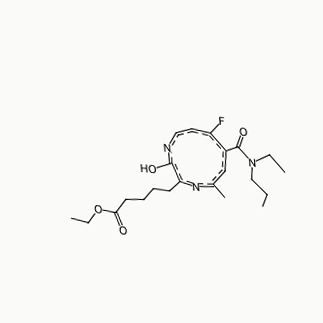 CCCN(CC)C(=O)c1cc(C)nc(CCCCC(=O)OCC)c(O)nccc1F